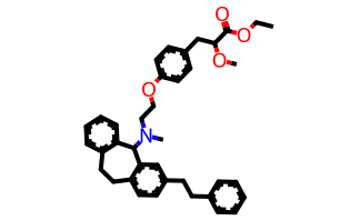 CCOC(=O)C(Cc1ccc(OCCN(C)C2c3ccccc3CCc3ccc(CCc4ccccc4)cc32)cc1)OC